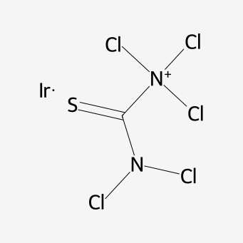 S=C(N(Cl)Cl)[N+](Cl)(Cl)Cl.[Ir]